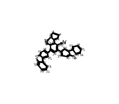 N#Cc1ccccc1-c1c(C#N)c(-c2ccc3sc4ccccc4c3c2)cc(-c2ccc3sc4ccccc4c3c2)c1C#N